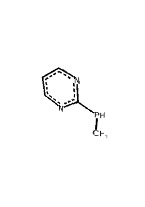 CPc1ncccn1